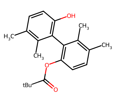 Cc1ccc(O)c(-c2c(OC(=O)C(C)(C)C)ccc(C)c2C)c1C